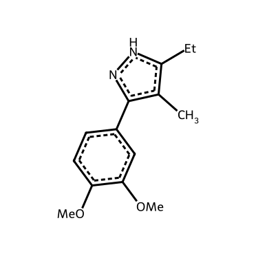 CCc1[nH]nc(-c2ccc(OC)c(OC)c2)c1C